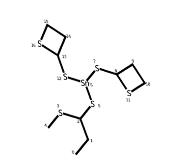 CCC(SC)[S][Sn]([S]C1CCS1)[S]C1CCS1